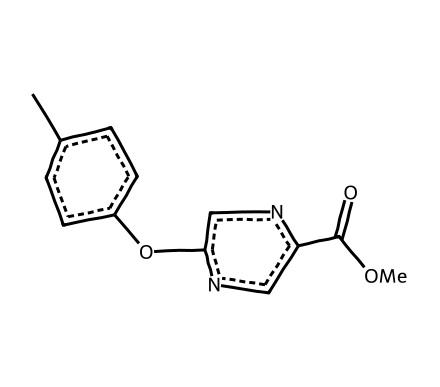 COC(=O)c1cnc(Oc2ccc(C)cc2)cn1